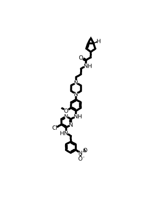 COc1cc(N2CCN(CCCNC(=O)CC3C=C4C[C@@H]4C3)CC2)ccc1Nc1ncc(Cl)c(NCc2cccc([N+](=O)[O-])c2)n1